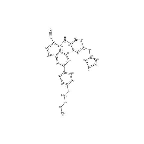 N#Cc1cnc2cc(-c3ccc(CNCCO)cn3)ccc2c1Nc1ccc(Cc2ccoc2)cc1